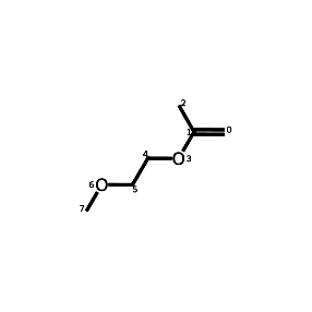 C=C(C)OCCOC